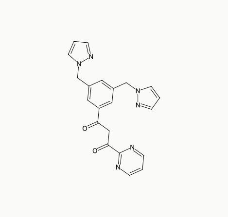 O=C(CC(=O)c1ncccn1)c1cc(Cn2cccn2)cc(Cn2cccn2)c1